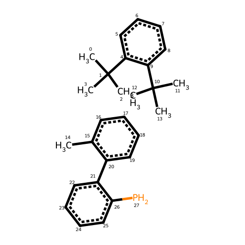 CC(C)(C)c1ccccc1C(C)(C)C.Cc1ccccc1-c1ccccc1P